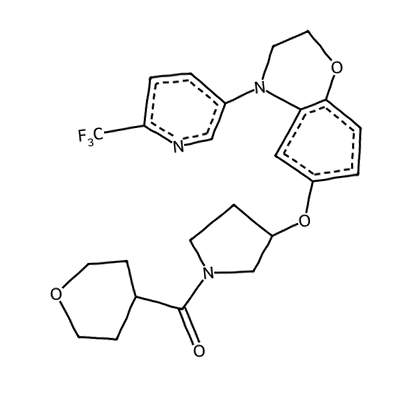 O=C(C1CCOCC1)N1CCC(Oc2ccc3c(c2)N(c2ccc(C(F)(F)F)nc2)CCO3)C1